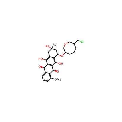 COc1cccc2c1C(=O)c1c(O)c3c(c(O)c1C2=O)CC(O)(C(C)=O)CC3OC1CCCC(CCl)COC1